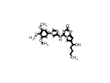 CCCCC(O)c1cc2nc(Cl)nc(Nc3cn(-c4cc(OC)c(OC)c(OC)c4)cn3)n2c1